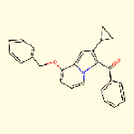 O=C(c1ccccc1)c1c(C2CC2)cc2c(OCc3ccccc3)cccn12